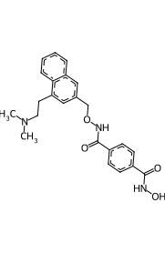 CN(C)CCc1cc(CONC(=O)c2ccc(C(=O)NO)cc2)cc2ccccc12